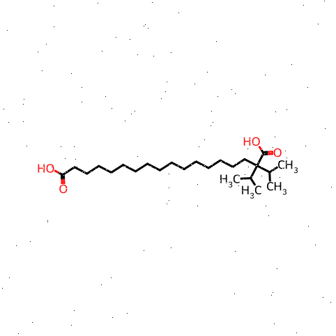 CC(C)C(CCCCCCCCCCCCCCCC(=O)O)(C(=O)O)C(C)C